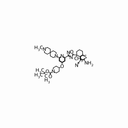 CN1CCC2(CC1)CCN(c1cc(OC3CCN(C(=O)OC(C)(C)C)CC3)cc(-c3noc(C4(C)CCCc5sc(N)c(C#N)c54)n3)n1)CC2